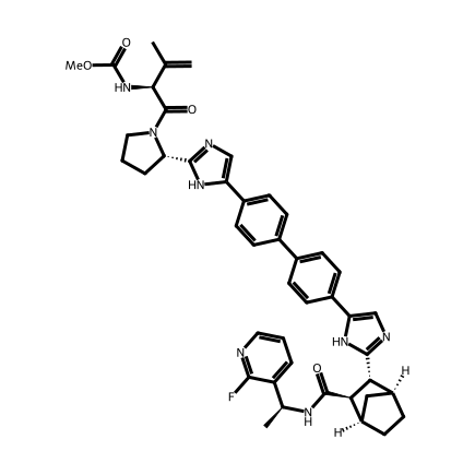 C=C(C)[C@H](NC(=O)OC)C(=O)N1CCC[C@H]1c1ncc(-c2ccc(-c3ccc(-c4cnc([C@@H]5[C@H]6CC[C@H](C6)[C@H]5C(=O)N[C@@H](C)c5cccnc5F)[nH]4)cc3)cc2)[nH]1